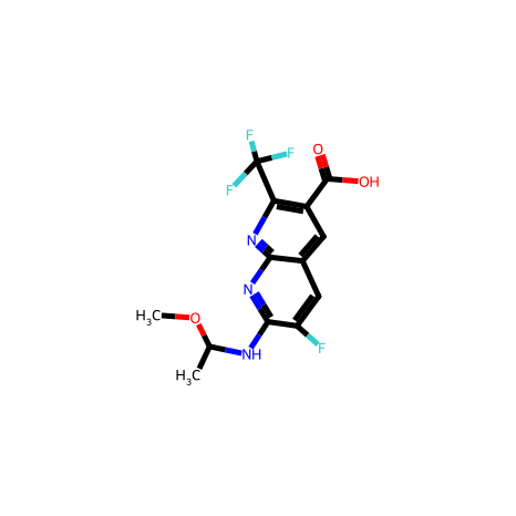 COC(C)Nc1nc2nc(C(F)(F)F)c(C(=O)O)cc2cc1F